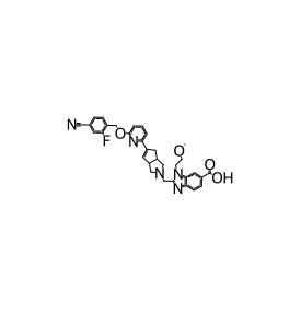 COCCn1c(CN2CC3C=C(c4cccc(OCc5ccc(C#N)cc5F)n4)CC3C2)nc2ccc(C(=O)O)cc21